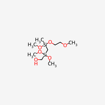 COCCO[Si](C)(C[Si](CO)(OC)OC)OC